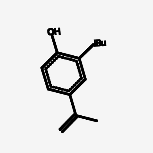 C=C(C)c1ccc(O)c(C(C)CC)c1